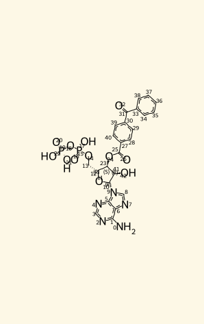 Nc1ncnc2c1ncn2[C@@H]1O[C@H](COP(=O)(O)OP(=O)(O)O)[C@@H](OC(=O)c2ccc(C(=O)c3ccccc3)cc2)[C@H]1O